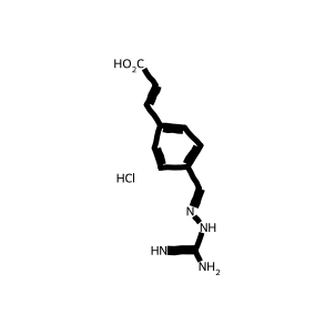 Cl.N=C(N)NN=Cc1ccc(/C=C/C(=O)O)cc1